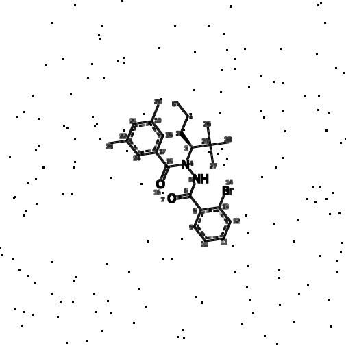 CCC[C@H](N(NC(=O)c1ccccc1Br)C(=O)c1cc(C)cc(C)c1)C(C)(C)C